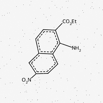 CCOC(=O)c1ccc2cc([N+](=O)[O-])ccc2c1N